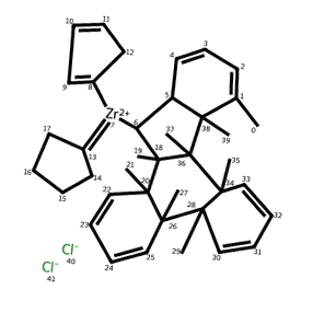 CC1=CC=CC2[CH]([Zr+2]([C]3=CC=CC3)=[C]3CCCC3)C3(C)C4(C)C=CC=CC4(C)C4(C)C=CC=CC4(C)C3(C)C12C.[Cl-].[Cl-]